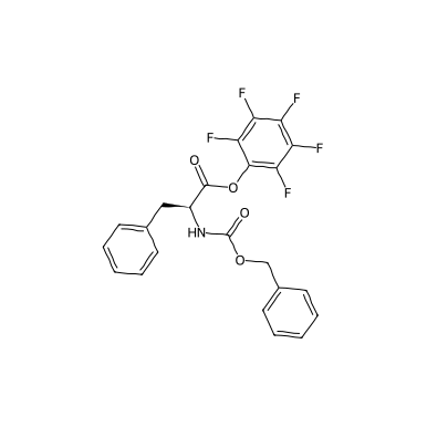 O=C(N[C@@H](Cc1ccccc1)C(=O)Oc1c(F)c(F)c(F)c(F)c1F)OCc1ccccc1